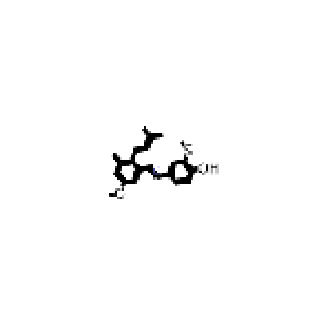 COc1cc(C)c(CC=C(C)C)c(/C=C/c2ccc(O)c(SC)c2)c1